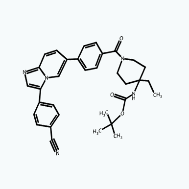 CCC1(NC(=O)OC(C)(C)C)CCN(C(=O)c2ccc(-c3ccc4ncc(-c5ccc(C#N)cc5)n4c3)cc2)CC1